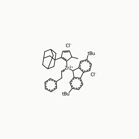 CC1C=CC(C23CC4CC(CC(C4)C2)C3)=[C]1/[Zr+2](=[CH]/Cc1ccccc1)[CH]1c2cc(C(C)(C)C)ccc2-c2ccc(C(C)(C)C)cc21.[Cl-].[Cl-]